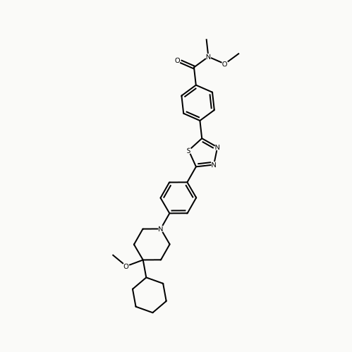 CON(C)C(=O)c1ccc(-c2nnc(-c3ccc(N4CCC(OC)(C5CCCCC5)CC4)cc3)s2)cc1